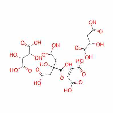 O=C(O)/C=C\C(=O)O.O=C(O)C(O)C(O)C(=O)O.O=C(O)CC(O)(CC(=O)O)C(=O)O.O=C(O)CC(O)C(=O)O